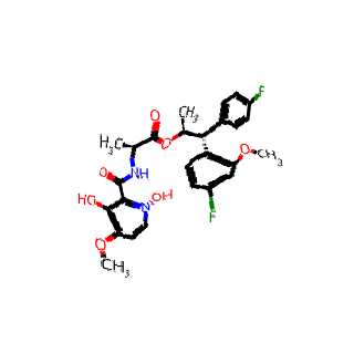 COc1cc(F)ccc1[C@@H](c1ccc(F)cc1)[C@H](C)OC(=O)[C@H](C)NC(=O)c1c(O)c(OC)cc[n+]1O